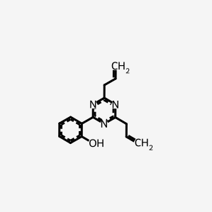 C=CCc1nc(CC=C)nc(-c2ccccc2O)n1